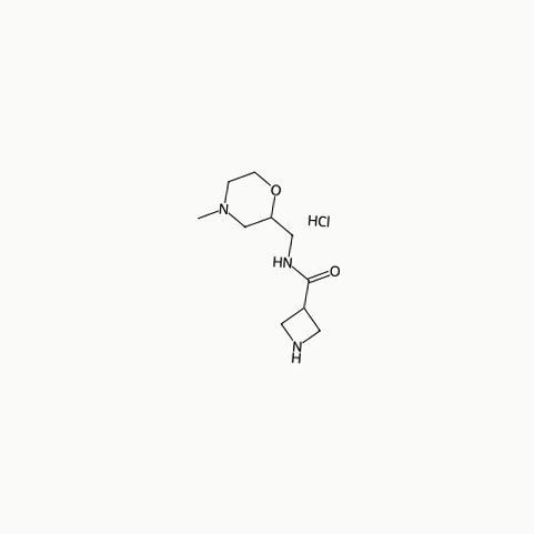 CN1CCOC(CNC(=O)C2CNC2)C1.Cl